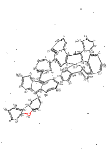 c1cc(-c2cc3c(c4ccccc24)-c2c(c4ccccc4c4ccccc24)C32c3ccccc3-c3ccccc32)cc(-c2c3ccccc3c(-c3ccc4oc5ccccc5c4c3)c3ccccc23)c1